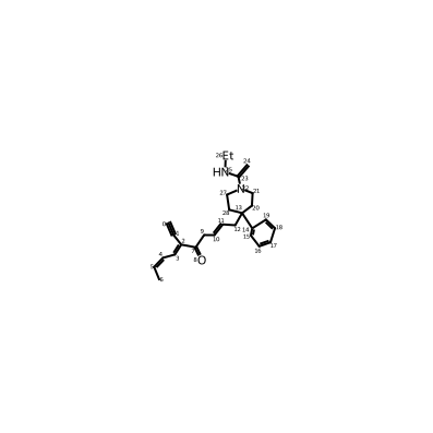 C#C/C(=C\C=C/C)C(=O)C/C=C/CC1(c2ccccc2)CCN(C(=C)NCC)CC1